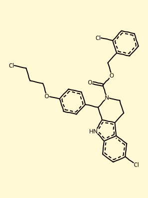 O=C(OCc1ccccc1Cl)N1CCc2c([nH]c3ccc(Cl)cc23)C1c1ccc(OCCCCl)cc1